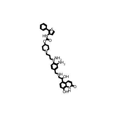 Nc1cc(CNCC(O)c2ccc(O)c3[nH]c(=O)ccc23)ccc1N(N)CCCN1CCC(OC(=O)Nc2ccsc2-c2ccccc2)CC1